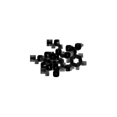 CCOC(=O)[C@@H]1[C@@H](Sc2cccc([N+](=O)[O-])c2)C(=O)N1[Si](C)(C)C(C)(C)C